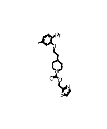 Cc1ccc(C(C)C)c(OCCC2CCN(C(=O)OCc3nccs3)CC2)c1